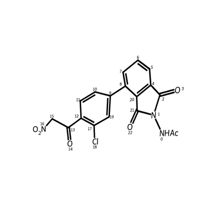 CC(=O)NN1C(=O)c2cccc(-c3ccc(C(=O)C[N+](=O)[O-])c(Cl)c3)c2C1=O